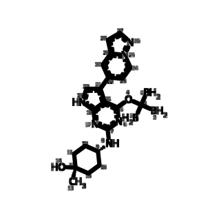 BC(B)(B)Oc1nc(N[C@H]2CC[C@@](C)(O)CC2)nc2[nH]cc(-c3ccn4nccc4c3)c12